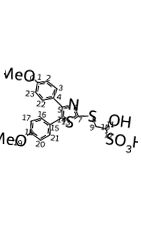 COc1ccc(-c2nc(SCC(O)S(=O)(=O)O)sc2-c2ccc(OC)cc2)cc1